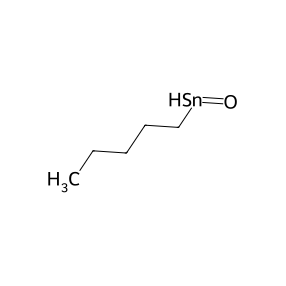 CCCC[CH2][SnH]=[O]